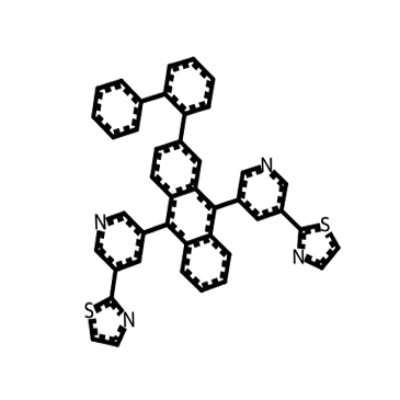 c1ccc(-c2ccccc2-c2ccc3c(-c4cncc(-c5nccs5)c4)c4ccccc4c(-c4cncc(-c5nccs5)c4)c3c2)cc1